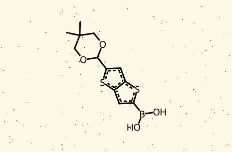 CC1(C)COC(c2cc3sc(B(O)O)cc3s2)OC1